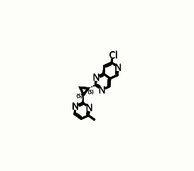 Cc1ccnc([C@H]2C[C@@H]2c2ncc3cnc(Cl)cc3n2)n1